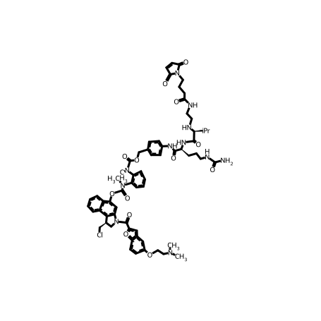 CC(C)[C@H](NCCNC(=O)CCCN1C(=O)C=CC1=O)C(=O)N[C@@H](CCCNC(N)=O)C(=O)Nc1ccc(COC(=O)N(C)c2ccccc2N(C)C(=O)Oc2cc3c(c4ccccc24)[C@H](CCl)CN3C(=O)c2cc3cc(OCCN(C)C)ccc3o2)cc1